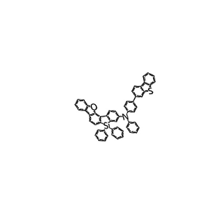 c1ccc(N(c2ccc(-c3ccc4c(c3)sc3ccccc34)cc2)c2ccc3c(c2)[Si](c2ccccc2)(c2ccccc2)c2ccc4c(oc5ccccc54)c2-3)cc1